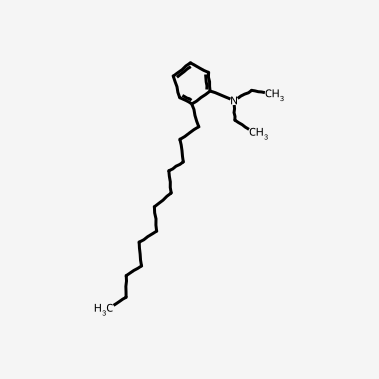 CCCCCCCCCCCCc1ccccc1N(CC)CC